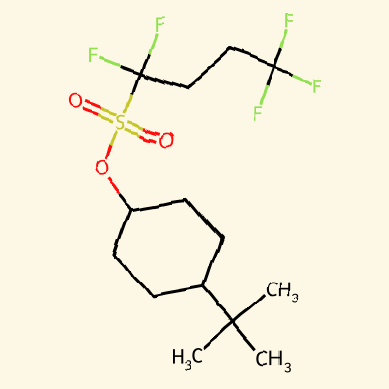 CC(C)(C)C1CCC(OS(=O)(=O)C(F)(F)CCC(F)(F)F)CC1